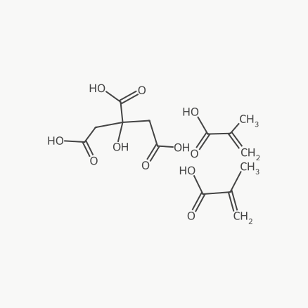 C=C(C)C(=O)O.C=C(C)C(=O)O.O=C(O)CC(O)(CC(=O)O)C(=O)O